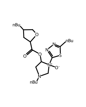 CCCCc1nnc([N+]2([O-])CN(CCCC)CC2OC(=O)C2CC(CCCC)CO2)s1